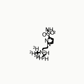 [2H]C([2H])([2H])N(CCn1ccc(S(N)(=O)=O)n1)C([2H])([2H])[2H]